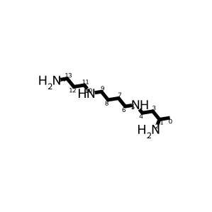 CC(N)CCNCCCCNCCCN